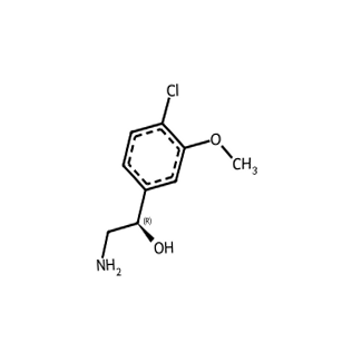 COc1cc([C@@H](O)CN)ccc1Cl